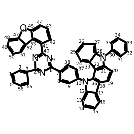 c1ccc(-c2nc(-c3ccc(-n4c5ccccc5c5ccc6c(c7ccccc7n6-c6ccccc6)c54)cc3)nc(-c3cccc4oc5ccccc5c34)n2)cc1